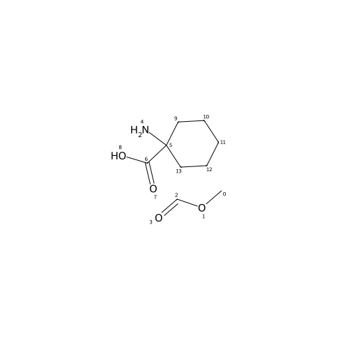 COC=O.NC1(C(=O)O)CCCCC1